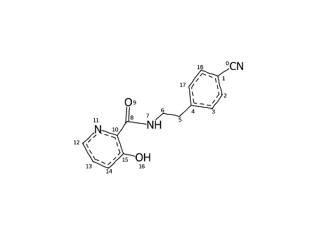 N#Cc1ccc(CCNC(=O)c2ncccc2O)cc1